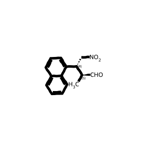 C[C@H](C=O)[C@@H](C[N+](=O)[O-])c1cccc2ccccc12